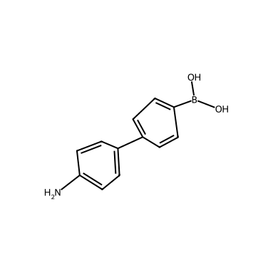 Nc1ccc(-c2ccc(B(O)O)cc2)cc1